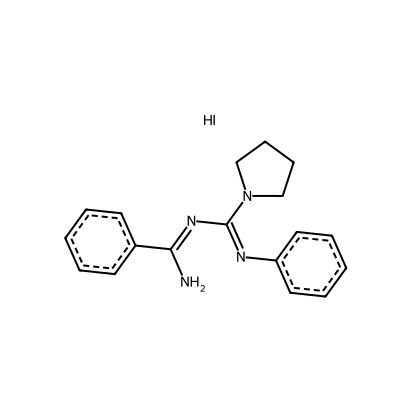 I.N/C(=N\C(=N\c1ccccc1)N1CCCC1)c1ccccc1